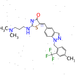 Cc1ccc(Cn2ncc3cc(/C=C4\SC(NCCCN(C)C)=NC4=O)ccc32)c(C(F)(F)F)c1